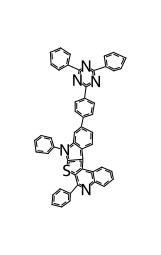 c1ccc(-c2nc(-c3ccccc3)nc(-c3ccc(-c4ccc5c6c7c(sc6n(-c6ccccc6)c5c4)c(-c4ccccc4)nc4ccccc47)cc3)n2)cc1